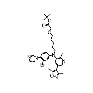 Cc1ncc(-c2c(C)noc2C)cc1N(CCCCCOCC(=O)OC(C)(C)C)c1ccc(-n2ccnc2)c(Br)c1